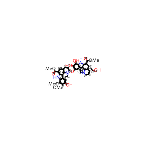 CC[C@]12C=C[C@@H](Oc3cc4c(c(O)c3O)NC3=C(C(=O)OC)C[C@@]5(CCO)C=CCN6CC[C@@]34[C@@H]65)N3CC[C@]4(C(=C(C(=O)OC)C1)Nc1c4cc(O)c(OC)c1OC)[C@@H]32